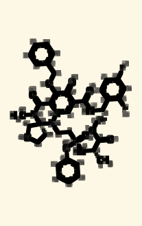 CC(C)OC(=O)[C@H](C)NP(=O)(CCN1n2cc(C(=O)NCc3ccc(F)cc3F)c(=O)c(OCc3ccccc3)c2C(=O)N(C)[C@@]12CCOC2)Oc1ccccc1